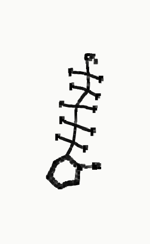 CC[n+]1ccccc1C(F)(F)C(F)(F)C(F)(F)C(F)(F)C(F)(F)C(F)(F)F